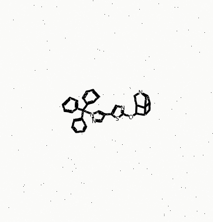 c1ccc(C(c2ccccc2)(c2ccccc2)n2cc(-c3cnc(OC4C5CC6CC4CN(C6)C5)s3)cn2)cc1